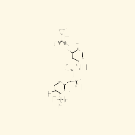 CC1(Cl)C(C(=O)Nc2ccc(F)c(CNC(=O)C3CC3)c2)C1c1ccc(F)c(C(F)(F)F)c1